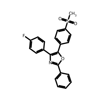 CS(=O)(=O)c1ccc(-c2oc(-c3ccccc3)nc2-c2ccc(F)cc2)cc1